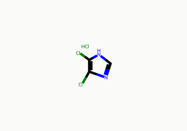 Cl.Clc1nc[nH]c1Cl